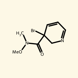 CON(C)C(=O)C1(Br)C=CC=NC1